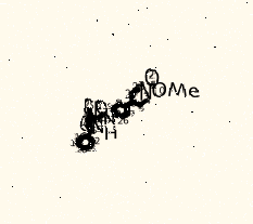 COC(=O)N1CCC(c2ccc(NC(=O)c3nc(-c4ccccc4)oc3C(F)(F)F)cc2)CC1